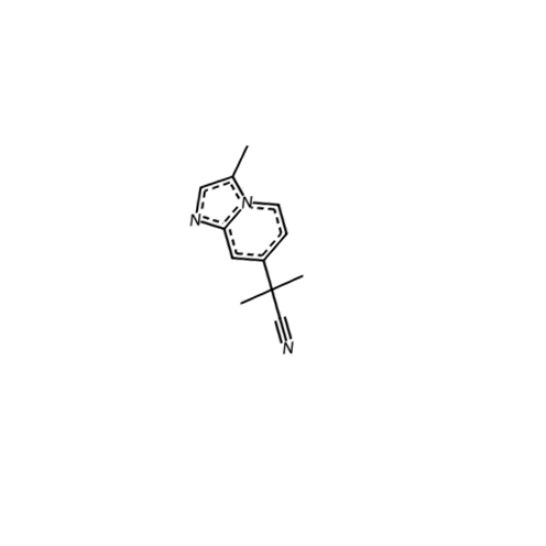 Cc1cnc2cc(C(C)(C)C#N)ccn12